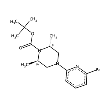 C[C@@H]1CN(c2cccc(Br)n2)C[C@@H](C)N1C(=O)OC(C)(C)C